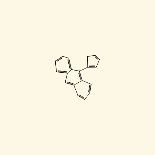 C1=CCC(c2c3ccccc3cc3ccccc23)=C1